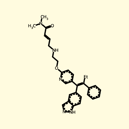 CCC(=C(c1ccc(OCCNCC=CC(=O)N(C)C)nc1)c1ccc2[nH]ncc2c1)c1ccccc1